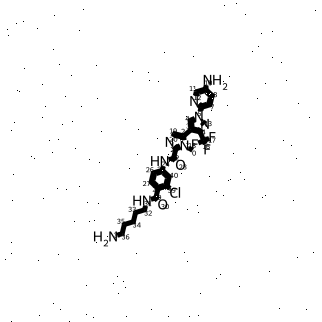 Cn1c(-c2cn(-c3ccc(N)cn3)nc2C(F)(F)F)cnc1C(=O)Nc1ccc(C(=O)NCCCCCN)c(Cl)c1